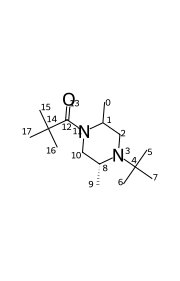 CC1CN(C(C)(C)C)[C@H](C)CN1C(=O)C(C)(C)C